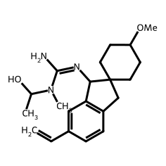 C=Cc1ccc2c(c1)C(/N=C(/N)N(C)C(C)O)C1(CCC(OC)CC1)C2